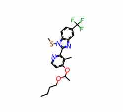 CCCCOC(C)Oc1ccnc(-c2nc3cc(C(F)(F)F)ccc3n2SC)c1C